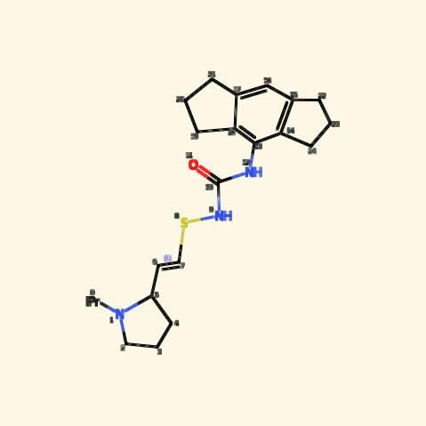 CC(C)N1CCCC1/C=C/SNC(=O)Nc1c2c(cc3c1CCC3)CCC2